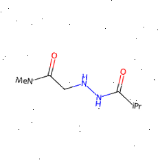 CNC(=O)CNNC(=O)C(C)C